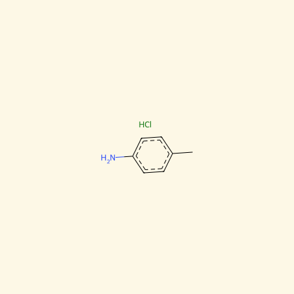 Cc1ccc(N)cc1.Cl